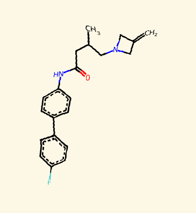 C=C1CN(CC(C)CC(=O)Nc2ccc(-c3ccc(F)cc3)cc2)C1